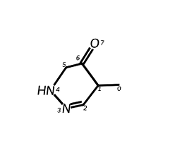 CC1C=NNCC1=O